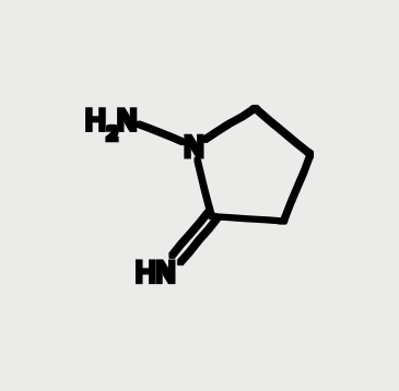 N=C1CCCN1N